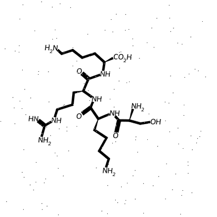 N=C(N)NCCC[C@H](NC(=O)[C@H](CCCCN)NC(=O)[C@@H](N)CO)C(=O)N[C@@H](CCCCN)C(=O)O